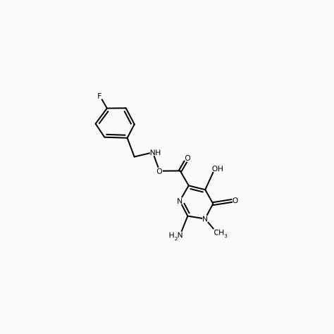 Cn1c(N)nc(C(=O)ONCc2ccc(F)cc2)c(O)c1=O